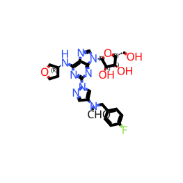 O=CN(Cc1ccc(F)cc1)c1cnn(-c2nc(N[C@@H]3CCOC3)c3ncn([C@@H]4O[C@H](CO)[C@@H](O)[C@H]4O)c3n2)c1